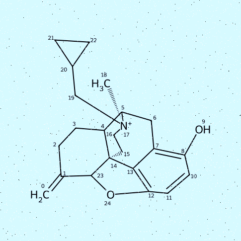 C=C1CCC2C3Cc4c(O)ccc5c4[C@@]2(CC[N@@+]3(C)CC2CC2)C1O5